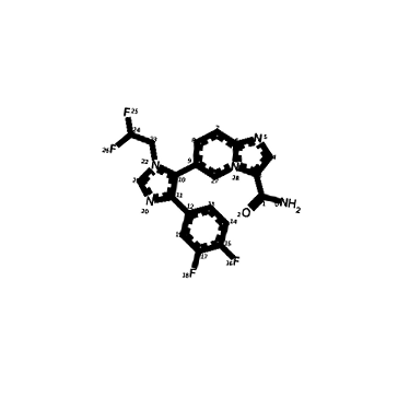 NC(=O)c1cnc2ccc(-c3c(-c4ccc(F)c(F)c4)ncn3CC(F)F)cn12